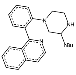 CCCCC1CN(c2ccccc2-c2nccc3ccccc23)CCN1